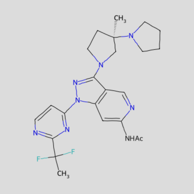 CC(=O)Nc1cc2c(cn1)c(N1CC[C@@](C)(N3CCCC3)C1)nn2-c1ccnc(C(C)(F)F)n1